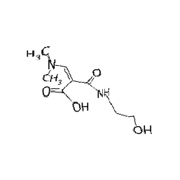 CN(C)C=C(C(=O)O)C(=O)NCCCO